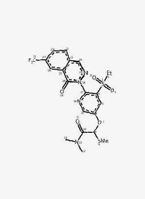 CCS(=O)(=O)c1cc(OC(SC)C(=O)N(C)C)cnc1-n1ncc2ccc(C(F)(F)F)cc2c1=O